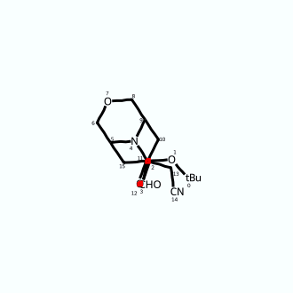 CC(C)(C)OC(=O)N1C2COCC1CC(C=O)(CC#N)C2